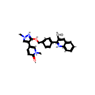 Cn1cc(-c2ccc(=O)n(C)c2)c(OCc2ccc(-c3nc4ccccc4cc3C=O)cc2)n1